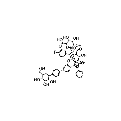 O=C(O)C1O[C@@H](Oc2cc(-c3ccc(C4C[C@H](CO)[C@@H](O)[C@H](O)[C@H]4O)cc3)ccc2[C@@H]2[C@@H](CC[C@H](O[C@@H]3OC(C(=O)O)[C@@H](O)[C@H](O)C3O)c3ccc(F)cc3)C(=O)N2c2ccccc2)C(O)[C@@H](O)[C@@H]1O